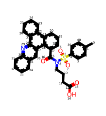 Cc1ccc(S(=O)(=O)N(CCCC(=O)O)C(=O)c2cccc3c4ccccc4c4nc5ccccc5cc4c23)cc1